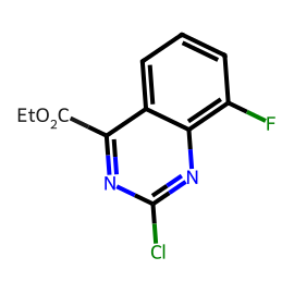 CCOC(=O)c1nc(Cl)nc2c(F)cccc12